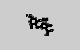 CCC(=O)c1cc(Oc2c(Cl)cc(C(F)(F)F)cc2Cl)ccc1Br.[NaH]